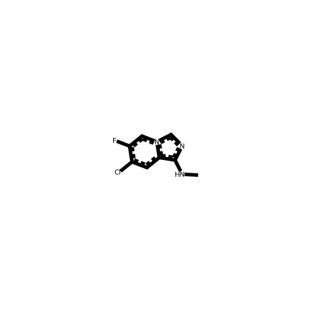 CNc1ncn2cc(F)c(Cl)cc12